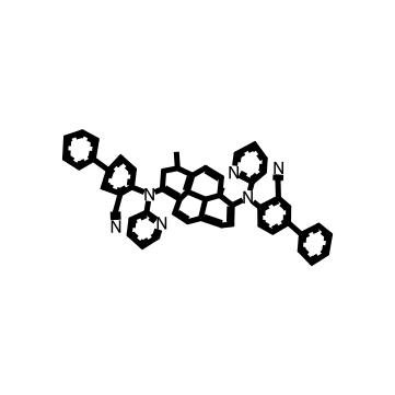 CC1CC(N(c2ccccn2)c2ccc(-c3ccccc3)cc2C#N)=C2C=CC3=CC=C(N(c4ccccn4)c4ccc(-c5ccccc5)cc4C#N)C4(C)C=CC1=C2C34